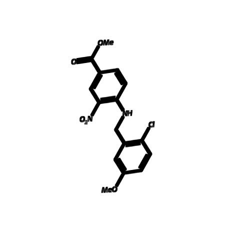 COC(=O)c1ccc(NCc2cc(OC)ccc2Cl)c([N+](=O)[O-])c1